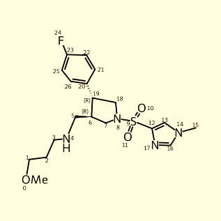 COCCCNC[C@@H]1CN(S(=O)(=O)c2cn(C)cn2)C[C@H]1c1ccc(F)cc1